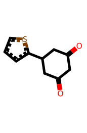 O=C1CC(=O)CC(c2cccs2)C1